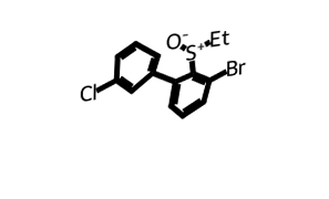 CC[S+]([O-])c1c(Br)cccc1-c1cccc(Cl)c1